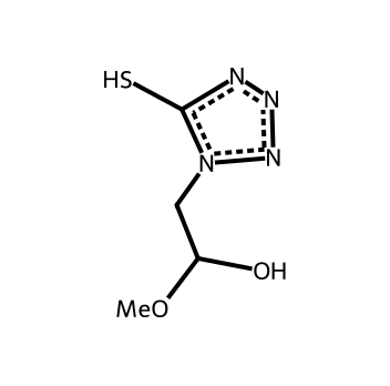 COC(O)Cn1nnnc1S